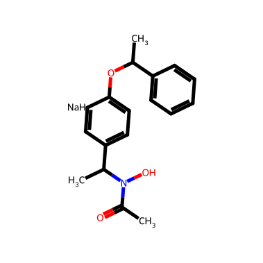 CC(=O)N(O)C(C)c1ccc(OC(C)c2ccccc2)cc1.[NaH]